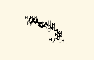 CC(C)n1nnc(CCNC(=O)Nc2cn3cc(-c4cnc(N)c(C(F)(F)F)c4)ccc3n2)n1